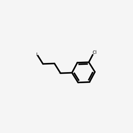 Clc1cccc([CH]CCI)c1